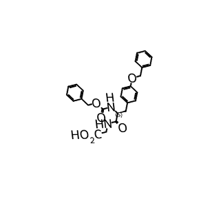 O=C(O)CNC(=O)[C@H](Cc1ccc(OCc2ccccc2)cc1)NC(=O)OCc1ccccc1